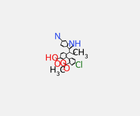 CCC(c1ccc(C(=O)O)cc1-c1ccc(Cl)cc1C(=O)OC)c1c[nH]c2cc(C#N)ccc12